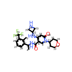 Cc1c(C(C)NC(=O)c2cn(C3CCOCC3)c(=O)cc2NC2CNC2)cccc1C(F)(F)F